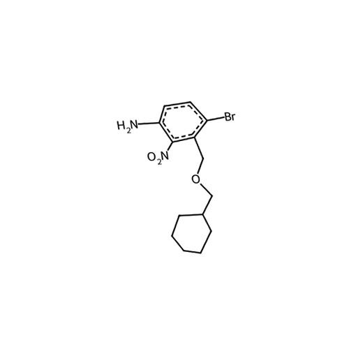 Nc1ccc(Br)c(COCC2CCCCC2)c1[N+](=O)[O-]